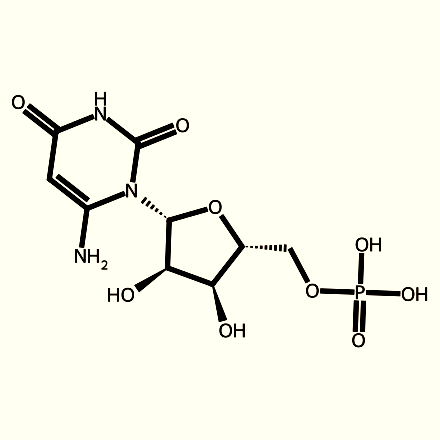 Nc1cc(=O)[nH]c(=O)n1[C@@H]1O[C@H](COP(=O)(O)O)[C@@H](O)[C@H]1O